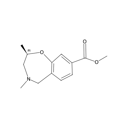 COC(=O)c1ccc2c(c1)O[C@H](C)CN(C)C2